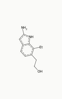 CCc1c(CCO)ccc2cc(N)[nH]c12